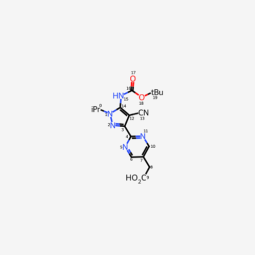 CC(C)n1nc(-c2ncc(CC(=O)O)cn2)c(C#N)c1NC(=O)OC(C)(C)C